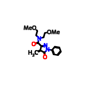 C=C1C(=O)N(c2ccccc2)N=C1C(=O)N(CCOC)CCOC